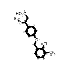 CCOC(CC(=O)O)c1ccc(OCc2cccc(C(F)(F)F)c2Cl)cc1